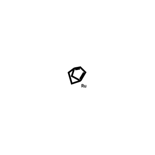 C1=C2CCC(=C1)C2.[Ru]